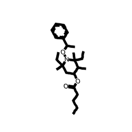 CCCCC(=O)OC1CC(C)(CC)N(OC(C)c2ccccc2)C(C)(CC)C1C